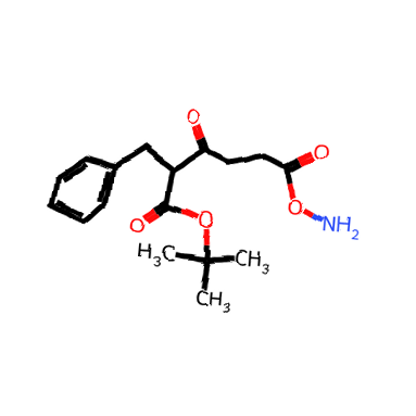 CC(C)(C)OC(=O)C(Cc1ccccc1)C(=O)CCC(=O)ON